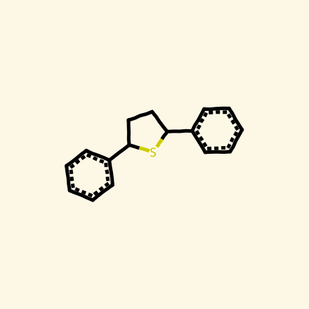 c1ccc(C2CCC(c3ccccc3)S2)cc1